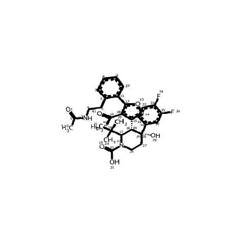 CC(=O)NCCc1ccccc1-c1onc([C@H]2C(C(C)(C)C)N(C(=O)O)CC[C@]2(O)c2ccc(F)c(F)c2)c1C(C)=O